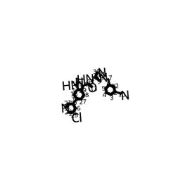 N#Cc1cccc(Cn2cc(NC(=O)c3n[nH]c4cc(-c5cncc(Cl)c5)ccc34)cn2)c1